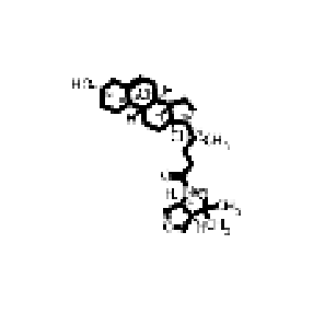 C[C@H](CCC(=O)N1OC(C)(C)[C@H]2COC[C@H]21)[C@H]1CC[C@H]2[C@@H]3CC=C4C[C@@H](O)CC[C@]4(C)[C@H]3CC[C@]12C